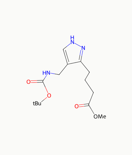 COC(=O)CCCc1n[nH]cc1CNC(=O)OC(C)(C)C